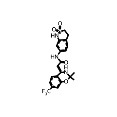 CC1(C)N/C(=C\C(=O)Nc2ccc3c(c2)NS(=O)(=O)CC3)c2ccc(C(F)(F)F)cc2O1